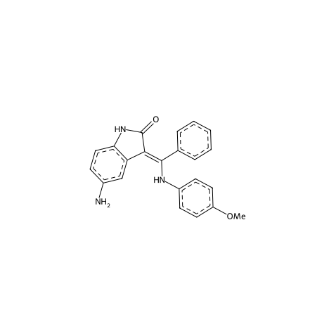 COc1ccc(NC(=C2C(=O)Nc3ccc(N)cc32)c2ccccc2)cc1